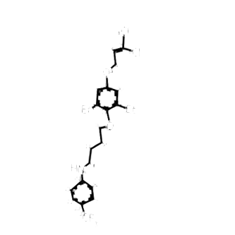 CCc1cc(OCC=C(Cl)Cl)cc(CC)c1OCCCCNc1ccc(C(F)(F)F)cc1